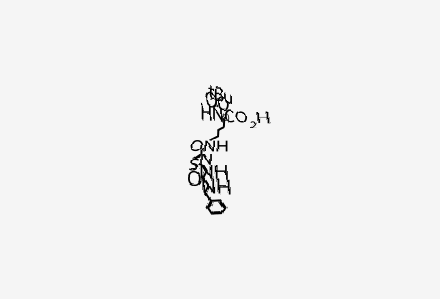 CC(C)(C)OC(=O)N[C@@H](CCCCNC(=O)c1csc(NC(=O)NCc2ccccc2)n1)C(=O)O